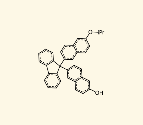 CC(C)Oc1ccc2cc(C3(c4ccc5cc(O)ccc5c4)c4ccccc4-c4ccccc43)ccc2c1